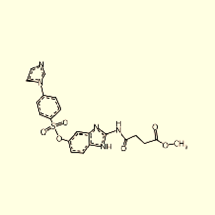 COC(=O)CCC(=O)Nc1nc2cc(OS(=O)(=O)c3ccc(-n4ccnc4)cc3)ccc2[nH]1